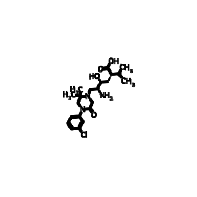 CC(C)[C@H](C[C@H](O)[C@@H](N)CN1CC(=O)N(c2cccc(Cl)c2)CC1(C)C)C(=O)O